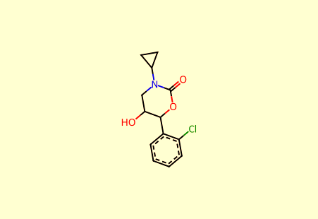 O=C1OC(c2ccccc2Cl)C(O)CN1C1CC1